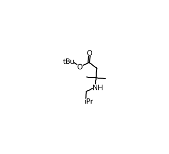 CC(C)CNC(C)(C)CC(=O)OC(C)(C)C